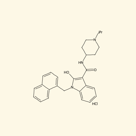 CC(C)N1CCC(NC(=O)c2c(O)n(Cc3cccc4ccccc34)c3ccccc23)CC1.Cl